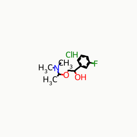 CC(OCC(O)c1cccc(F)c1)N(C)C.Cl